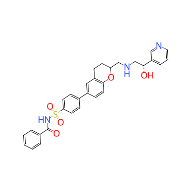 O=C(NS(=O)(=O)c1ccc(-c2ccc3c(c2)CCC(CNC[C@@H](O)c2cccnc2)O3)cc1)c1ccccc1